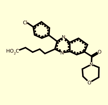 O=C(O)CCCCc1nc2cc(C(=O)N3CCOCC3)ccc2nc1-c1ccc(Cl)cc1